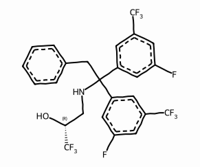 O[C@H](CNC(Cc1ccccc1)(c1cc(F)cc(C(F)(F)F)c1)c1cc(F)cc(C(F)(F)F)c1)C(F)(F)F